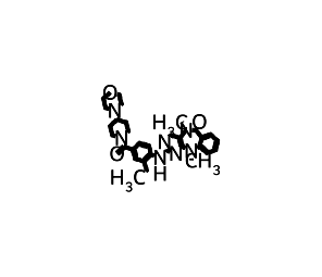 CCc1cc(C(=O)N2CCC(N3CCOCC3)CC2)ccc1Nc1ncc2c(n1)N(C)c1ccccc1C(=O)N2C